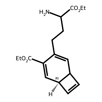 CCOC(=O)C1=C[C@@H]2C=CC2C=C1CCC(N)C(=O)OCC